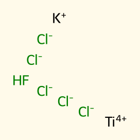 F.[Cl-].[Cl-].[Cl-].[Cl-].[Cl-].[K+].[Ti+4]